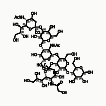 CC(=O)N[C@H]1[C@H](O[C@@H]2[C@H](O[C@]3(C(=O)O)C[C@H](O)[C@@H](NC(=O)CO)[C@H]([C@H](O)[C@H](O)CO)O3)[C@@H](O)[C@H](O[C@H]3[C@H](O)[C@@H](O)[C@H](O)O[C@@H]3CO)O[C@@H]2CO)O[C@H](CO)[C@H](O)[C@@H]1O[C@@H]1O[C@H](CO)[C@H](O)[C@H](O[C@]2(C(=O)O)C[C@H](O)[C@@H](NC(C)=O)[C@H]([C@H](O)[C@H](O)CO)O2)[C@H]1O